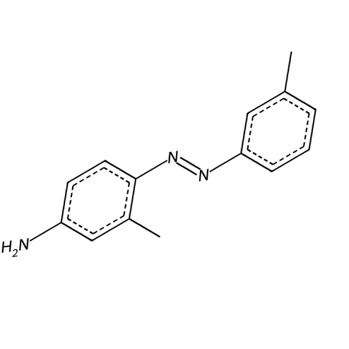 Cc1cccc(N=Nc2ccc(N)cc2C)c1